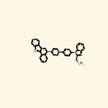 CCc1nc2ccccc2n1-c1ccc(-c2ccc(-c3cc4c5ccccc5oc4c4ccccc34)cc2)cc1